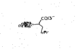 CCCCCC(CCC)C(=O)[O-].[Ag+]